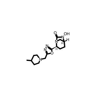 CC1CCN(Cc2nnc([C@@H]3CC[C@@H]4CN3C(=O)N4O)o2)CC1